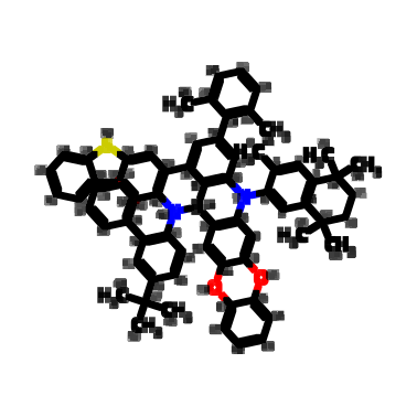 Cc1cc2c(cc1N1c3cc4c(cc3B3c5c(cc(-c6c(C)cccc6C)cc51)-c1cc5sc6ccccc6c5cc1N3c1ccc(C(C)(C)C)cc1-c1ccccc1)Oc1ccccc1O4)C(C)(C)CCC2(C)C